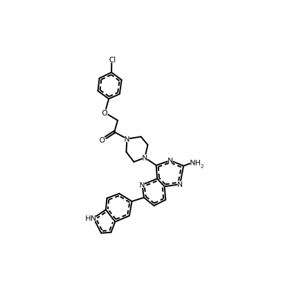 Nc1nc(N2CCN(C(=O)COc3ccc(Cl)cc3)CC2)c2nc(-c3ccc4[nH]ccc4c3)ccc2n1